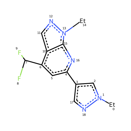 CCn1cc(-c2cc(C(F)F)c3cnn(CC)c3n2)cn1